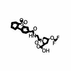 O=C(NCC(=O)N1C[C@H](OC(F)F)CC1C(=O)O)c1ccc2c(c1)S(=O)(=O)c1ccccc1-2